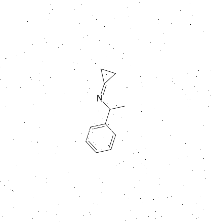 CC(N=C1CC1)c1ccccc1